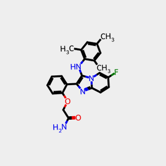 Cc1cc(C)c(Nc2c(-c3ccccc3OCC(N)=O)nc3ccc(F)cn23)c(C)c1